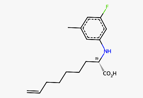 C=CCCCCC[C@H](Nc1cc(C)cc(F)c1)C(=O)O